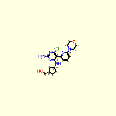 Nc1nc(Cl)c(-c2cccc(N3CCOCC3)n2)c(N[C@H]2CC[C@@H](CO)C2)n1